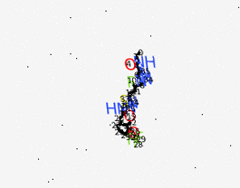 CCNC(=O)c1cn(CC(F)CCc2nnc(NC(=O)CC3CC=CC(OC(F)(F)F)C3C)s2)nn1